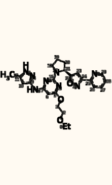 CCOCCOc1cc(Nc2cc(C)[nH]n2)nc(N2CCC[C@H]2c2cc(-c3ccccn3)no2)n1